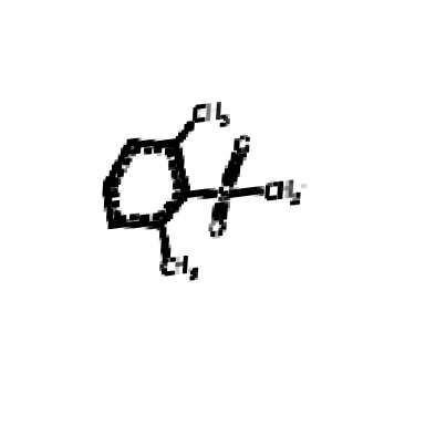 [CH2]S(=O)(=O)c1c(C)cccc1C